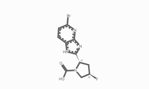 O=C(O)N1C[C@H](F)C[C@H]1c1nc2nc(Br)ccc2[nH]1